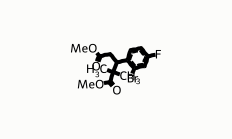 COC(=O)CC(c1ccc(F)cc1Br)C(C)(C)C(=O)OC